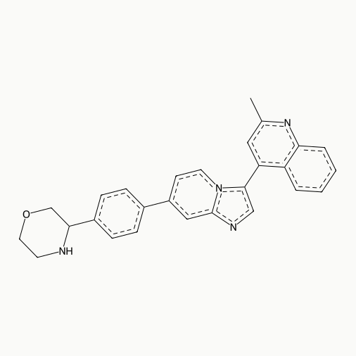 Cc1cc(-c2cnc3cc(-c4ccc(C5COCCN5)cc4)ccn23)c2ccccc2n1